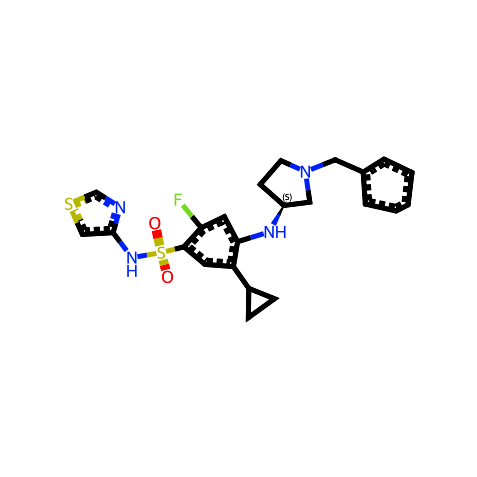 O=S(=O)(Nc1cscn1)c1cc(C2CC2)c(N[C@H]2CCN(Cc3ccccc3)C2)cc1F